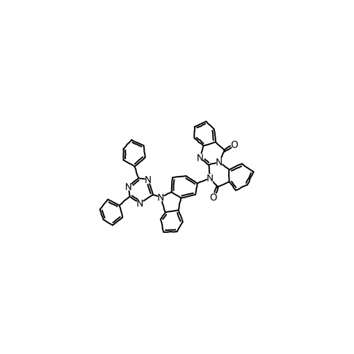 O=c1c2ccccc2n2c(=O)c3ccccc3nc2n1-c1ccc2c(c1)c1ccccc1n2-c1nc(-c2ccccc2)nc(-c2ccccc2)n1